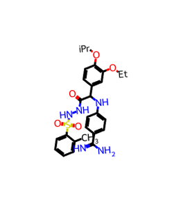 CCOc1cc(C(Nc2ccc(C(=N)N)cc2)C(=O)NNS(=O)(=O)c2ccccc2C)ccc1OC(C)C